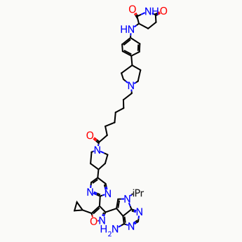 CC(C)n1cc(-c2noc(C3CC3)c2-c2ncc(C3CCN(C(=O)CCCCCCCN4CCC(c5ccc(NC6CCC(=O)NC6=O)cc5)CC4)CC3)cn2)c2c(N)ncnc21